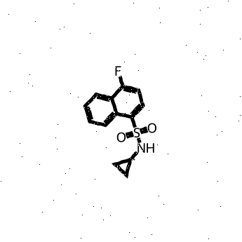 O=S(=O)(N[C]1CC1)c1ccc(F)c2ccccc12